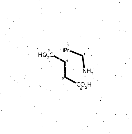 CC(C)CN.O=C(O)CCC(=O)O